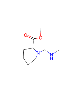 CNCN1CCCC[C@@H]1C(=O)OC